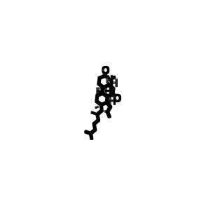 CC(C)CCC[C@@H](C)[C@H]1C(C)C[C@H]2[C@@H]3C(=O)C[C@H]4N(C)C(=O)CC[C@]4(C)[C@H]3CC[C@]12C